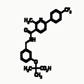 Cc1nc(-c2ccc(C(F)(F)F)cc2)ccc1C(=O)NCc1cccc(OC(C)(C)C(=O)O)c1